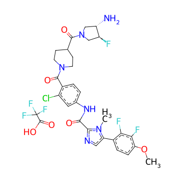 COc1ccc(-c2cnc(C(=O)Nc3ccc(C(=O)N4CCC(C(=O)N5C[C@H](N)[C@@H](F)C5)CC4)c(Cl)c3)n2C)c(F)c1F.O=C(O)C(F)(F)F